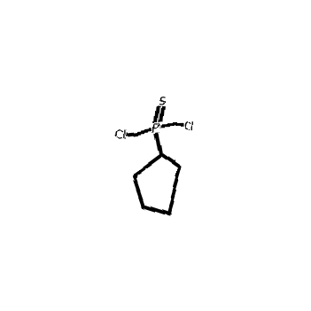 S=P(Cl)(Cl)C1CCCC1